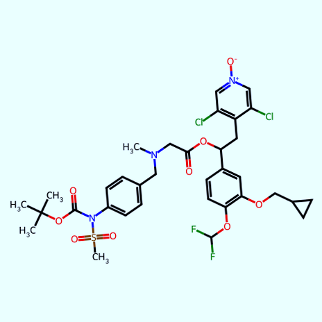 CN(CC(=O)OC(Cc1c(Cl)c[n+]([O-])cc1Cl)c1ccc(OC(F)F)c(OCC2CC2)c1)Cc1ccc(N(C(=O)OC(C)(C)C)S(C)(=O)=O)cc1